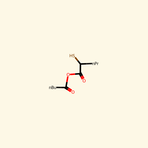 CCCCC(=O)OC(=O)C(S)CCC